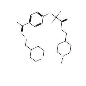 C/C(=N/OCC1CCOCC1)c1ccc(OC(C)(C)C(=O)NCC2CCN(C)CC2)cc1